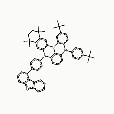 CC(C)(C)c1ccc(N2c3ccc(C(C)(C)C)cc3B3c4cc5c(cc4N(c4ccc(-c6cccc7oc8ccccc8c67)cc4)c4cccc2c43)C(C)(C)CCC5(C)C)cc1